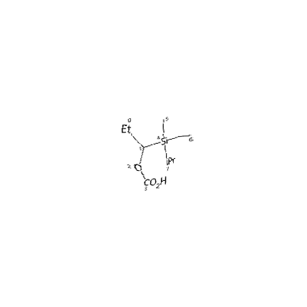 CCC(OC(=O)O)[Si](C)(C)C(C)C